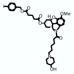 COc1ccc2c3c1O[C@@H]1C[C@H](OC(=O)CCCC(=O)OCc4ccc(I)cc4)CC[C@@]31CCN(C(=O)CCCCCN1CCC(O)CC1)C2